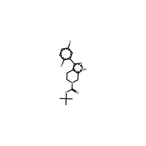 CC(C)(C)OC(=O)N1CCc2c(-c3cc(F)ccc3F)n[nH]c2C1